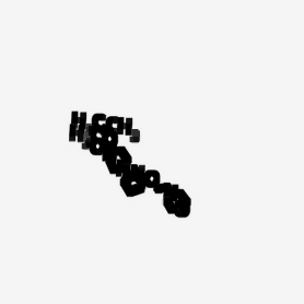 CC(C)(C)OC(=O)N1CCN(c2cccc(OCCN3CCOCC3)n2)CC1